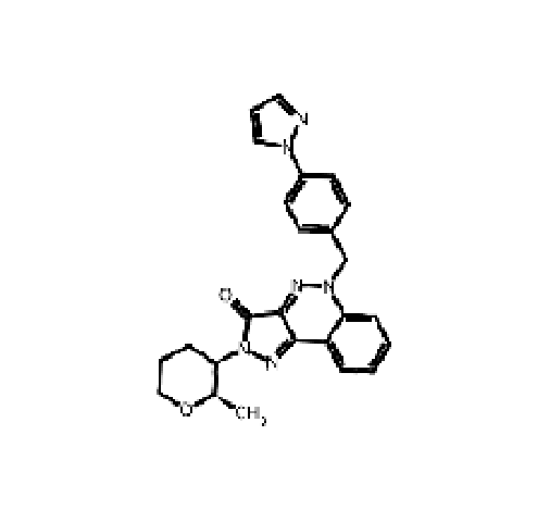 C[C@H]1OCCC[C@H]1n1nc2c3ccccc3n(Cc3ccc(-n4cccn4)cc3)nc-2c1=O